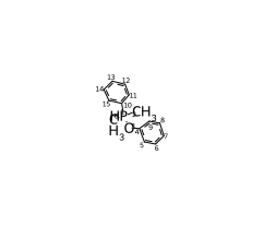 C[PH](C)(Oc1ccccc1)c1ccccc1